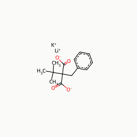 CC(C)(C)C(Cc1ccccc1)(C(=O)[O-])C(=O)[O-].[K+].[Li+]